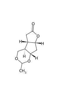 CC1OC[C@H]2[C@@H]3CC(=O)O[C@@H]3C[C@@H]2O1